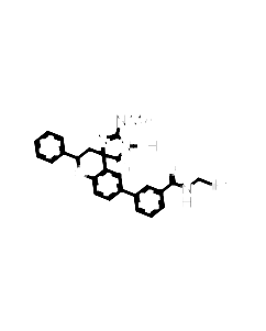 CNC1=NC2(CC(c3ccccc3)Oc3ccc(-c4cccc(C(=O)NCC(C)C)c4)cc32)C(=O)N1C